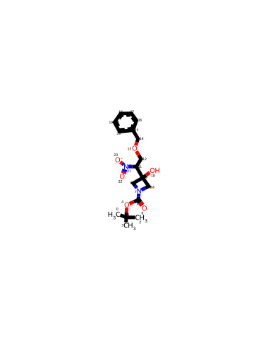 CC(C)(C)OC(=O)N1CC(O)(C(COCc2ccccc2)[N+](=O)[O-])C1